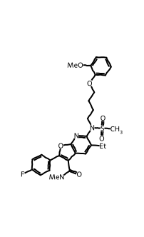 CCc1cc2c(C(=O)NC)c(-c3ccc(F)cc3)oc2nc1N(CCCCOc1ccccc1OC)S(C)(=O)=O